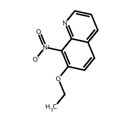 CCOc1ccc2cccnc2c1[N+](=O)[O-]